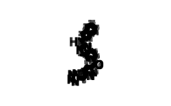 O=C(c1ccc(Cc2nnn[nH]2)nn1)N1CCc2nc(NC3Cc4ccccc4C3)ncc2C1